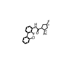 CC(=O)[C@@H]1C[C@H](F)CC1C(=O)Nc1cccc(-c2ccccc2Cl)c1F